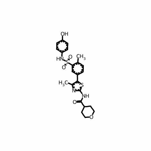 Cc1ccc(-c2sc(NC(=O)C3CCOCC3)nc2C)cc1S(=O)(=O)Nc1ccc(O)cc1